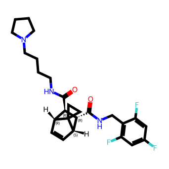 O=C(NCCCCN1CCCC1)[C@H]1[C@H](C(=O)NCc2c(F)cc(F)cc2F)[C@@H]2C=C[C@H]1C21CC1